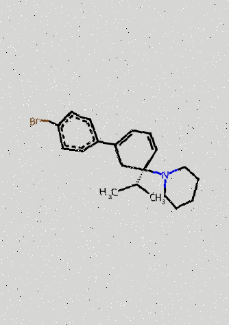 CC(C)[C@@]1(N2CCCCC2)C=CC=C(c2ccc(Br)cc2)C1